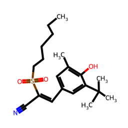 CCCCCCS(=O)(=O)C(C#N)=Cc1cc(C)c(O)c(C(C)(C)C)c1